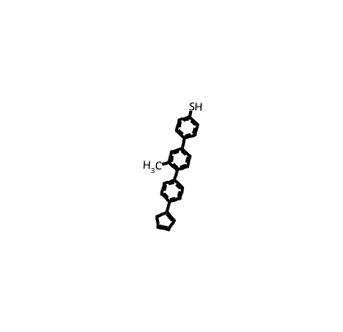 Cc1cc(-c2ccc(S)cc2)ccc1-c1ccc(C2=CC=CC2)cc1